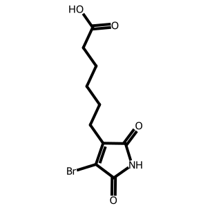 O=C(O)CCCCCC1=C(Br)C(=O)NC1=O